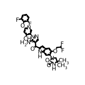 Cc1cc(Oc2c(F)cccc2F)ncc1-n1ncc(C(=O)c2cc3cc(OCC(F)F)c(N4CC(C)(C)NS4(=O)=O)cc3[nH]2)c1N